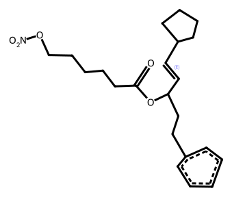 O=C(CCCCCO[N+](=O)[O-])OC(/C=C/C1CCCC1)CCc1ccccc1